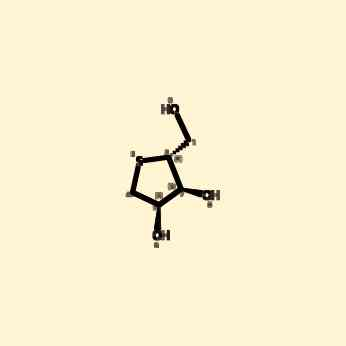 OC[C@H]1S[CH][C@H](O)[C@@H]1O